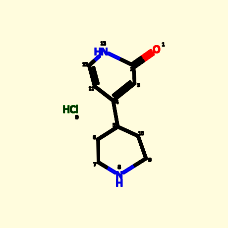 Cl.O=c1cc(C2CCNCC2)cc[nH]1